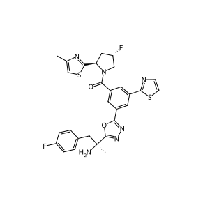 Cc1csc([C@H]2C[C@H](F)CN2C(=O)c2cc(-c3nnc([C@@](C)(N)Cc4ccc(F)cc4)o3)cc(-c3nccs3)c2)n1